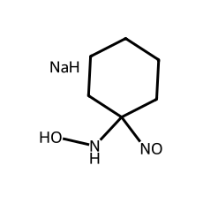 O=NC1(NO)CCCCC1.[NaH]